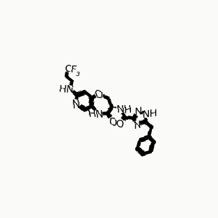 O=C(N[C@H]1COc2cc(NCCC(F)(F)F)ncc2NC1=O)c1n[nH]c(Cc2ccccc2)n1